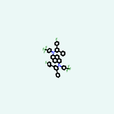 Fc1ccc(-c2cc(-c3ccccc3)cc(N(c3ccc(C(F)(F)F)cc3)c3ccc4ccc5c(N(c6ccc(C(F)(F)F)cc6)c6cc(-c7ccccc7)cc(-c7ccc(F)cc7)c6)ccc6ccc3c4c65)c2)cc1